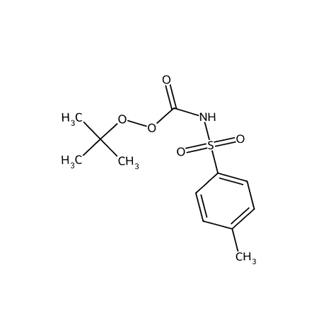 Cc1ccc(S(=O)(=O)NC(=O)OOC(C)(C)C)cc1